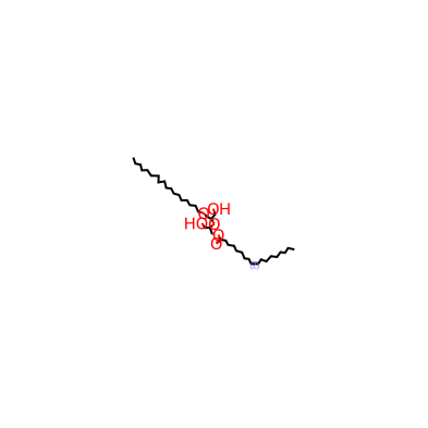 CCCCCCCC/C=C\CCCCCCCC(=O)OCC(CO)OC(CO)COCCCCCCCCCCCCCCCCCC